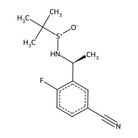 C[C@H](N[S+]([O-])C(C)(C)C)c1cc(C#N)ccc1F